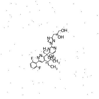 CC[C@@H](c1cc(-c2c(F)cccc2F)nnc1C(C)(C)c1ccnc(-n2cnc(C[C@@H](O)CO)n2)n1)C(C)C